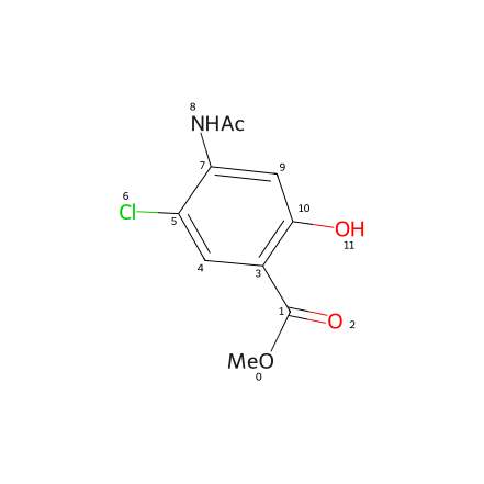 COC(=O)c1cc(Cl)c(NC(C)=O)cc1O